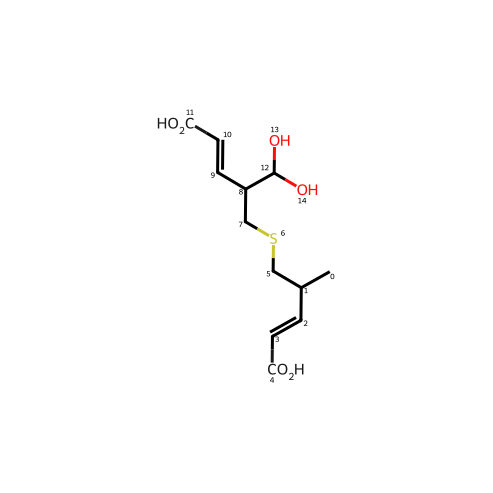 CC(C=CC(=O)O)CSCC(C=CC(=O)O)C(O)O